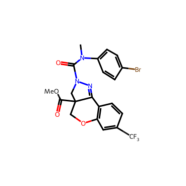 COC(=O)C12COc3cc(C(F)(F)F)ccc3C1=NN(C(=O)N(C)c1ccc(Br)cc1)C2